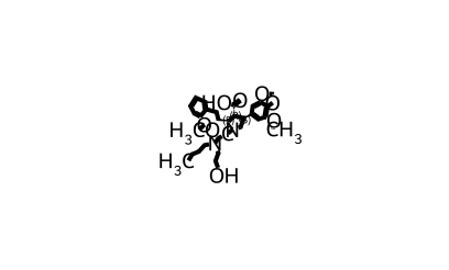 CCCCN(CCCO)C(=O)CN1C[C@H](c2cc(OC)c3c(c2)OCO3)[C@@H](C(=O)O)[C@@H]1CCc1ccccc1OC